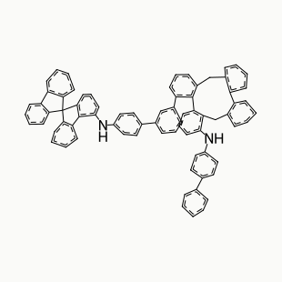 c1ccc(-c2ccc(Nc3cccc4c3Cc3ccccc3-c3ccccc3Cc3cccc(-c5cccc(-c6ccc(Nc7cccc8c7-c7ccccc7C87c8ccccc8-c8ccccc87)cc6)c5)c3-4)cc2)cc1